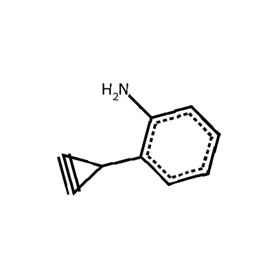 Nc1ccccc1C1C#C1